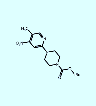 Cc1cnc(N2CCN(C(=O)OC(C)(C)C)CC2)cc1[N+](=O)[O-]